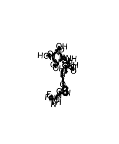 COC(=O)C[C@H](NC(=O)[C@H](C)NC(=O)CN1CCN(CC(=O)O)CCN(CC(=O)O)CCN(CC(=O)O)CC1)C(=O)N1CCN(CCCCOc2ccc3nccc(C(=O)NCC(=O)N4CC(F)(F)C[C@@H]4C#N)c3c2)CC1